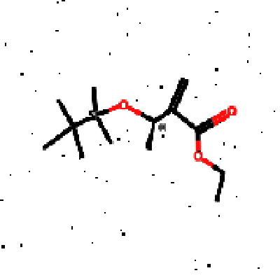 C=C(C(=O)OCC)[C@@H](C)O[Si](C)(C)C(C)(C)C